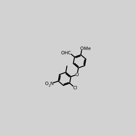 COc1ccc(Oc2c(C)cc([N+](=O)[O-])cc2Cl)cc1C=O